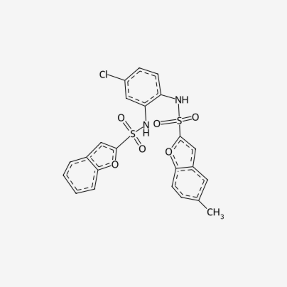 Cc1ccc2oc(S(=O)(=O)Nc3ccc(Cl)cc3NS(=O)(=O)c3cc4ccccc4o3)cc2c1